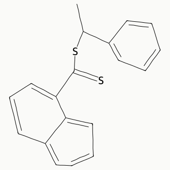 CC(SC(=S)c1cccc2ccccc12)c1ccccc1